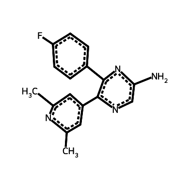 Cc1cc(-c2ncc(N)nc2-c2ccc(F)cc2)cc(C)n1